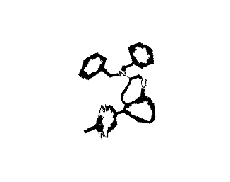 Cc1ncc(-c2cccc3c2C[C@H](N(Cc2ccccc2)Cc2ccccc2)CO3)cn1